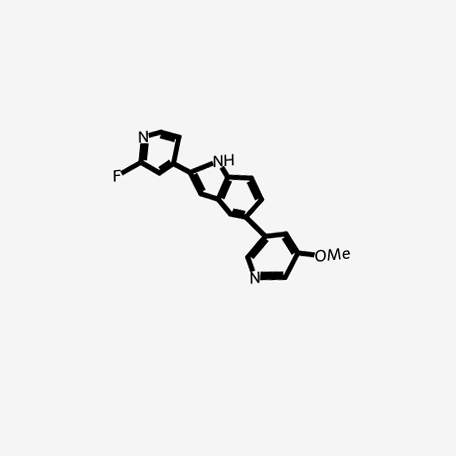 COc1cncc(-c2ccc3[nH]c(-c4ccnc(F)c4)cc3c2)c1